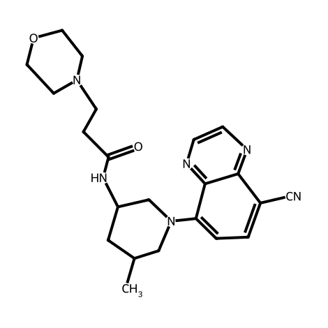 CC1CC(NC(=O)CCN2CCOCC2)CN(c2ccc(C#N)c3nccnc23)C1